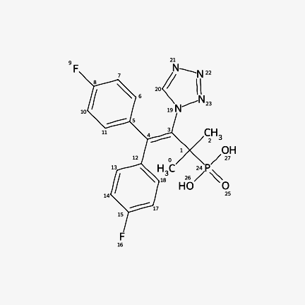 CC(C)(C(=C(c1ccc(F)cc1)c1ccc(F)cc1)n1cnnn1)P(=O)(O)O